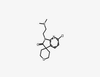 CN(C)CCN1C(=O)C2(CCOCC2)c2ccc(Cl)nc21